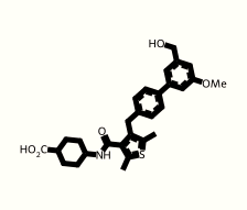 COc1cc(CO)cc(-c2ccc(Cc3c(C)sc(C)c3C(=O)NC3CCC(C(=O)O)CC3)cc2)c1